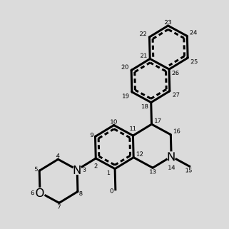 Cc1c(N2CCOCC2)ccc2c1CN(C)CC2c1ccc2ccccc2c1